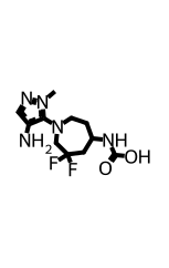 Cn1ncc(N)c1N1CCC(NC(=O)O)CC(F)(F)C1